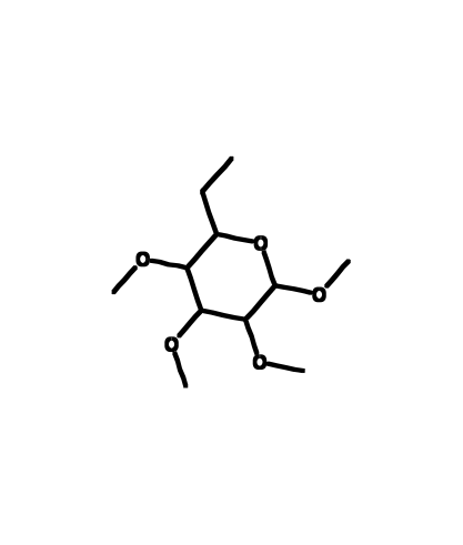 CCC1OC(OC)C(OC)C(OC)C1OC